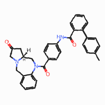 Cc1ccc(-c2ccccc2C(=O)Nc2ccc(C(=O)N3C[C@H]4CC(=O)CN4Cc4ccccc43)cc2)cc1